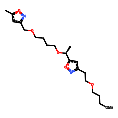 COCCCOCCc1cc([C@H](C)OCCCCOCc2cc(C)on2)on1